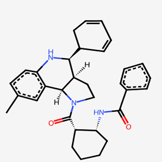 Cc1ccc2c(c1)[C@H]1[C@H](CCN1C(=O)[C@H]1CCCC[C@H]1NC(=O)c1ccccc1)[C@H](C1C=CC=CC1)N2